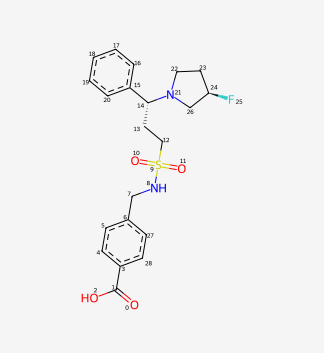 O=C(O)c1ccc(CNS(=O)(=O)CC[C@H](c2ccccc2)N2CC[C@@H](F)C2)cc1